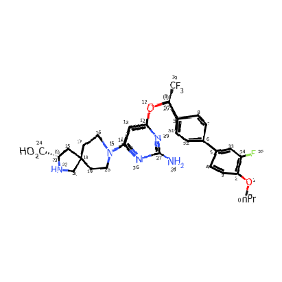 CCCOc1ccc(-c2ccc([C@@H](Oc3cc(N4CCC5(CC4)CN[C@H](C(=O)O)C5)nc(N)n3)C(F)(F)F)cc2)cc1F